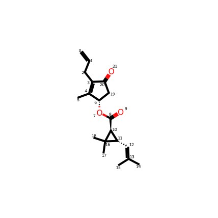 C=CCC1=C(C)[C@@H](OC(=O)[C@H]2[C@H](C=C(C)C)C2(C)C)CC1=O